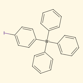 Ic1ccc([B-](c2ccccc2)(c2ccccc2)c2ccccc2)cc1